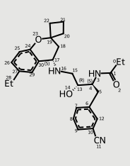 CCC(=O)N[C@@H](Cc1cccc(C#N)c1)[C@H](O)CN[C@H]1CC2(CCC2)Oc2ccc(CC)cc21